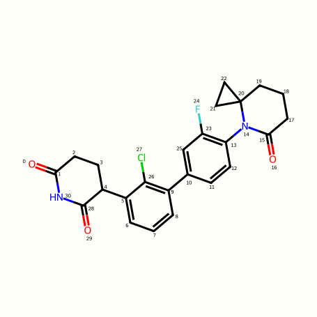 O=C1CCC(c2cccc(-c3ccc(N4C(=O)CCCC45CC5)c(F)c3)c2Cl)C(=O)N1